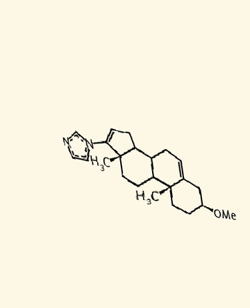 CO[C@H]1CC[C@@]2(C)C(=CCC3C2CC[C@]2(C)C(n4ccnc4)=CCC32)C1